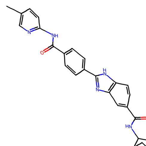 Cc1ccc(NC(=O)c2ccc(-c3nc4cc(C(=O)NC5CC6CCC5C6)ccc4[nH]3)cc2)nc1